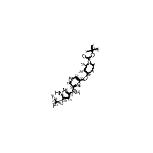 CC(C)(C)OC(=O)N1CCC(Oc2cncc(Nc3cc(OC(F)F)[nH]n3)n2)CC1